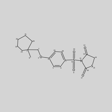 CC1(COc2ccc(S(=O)(=O)N3C(=O)CSC3=O)cc2)CCCCC1